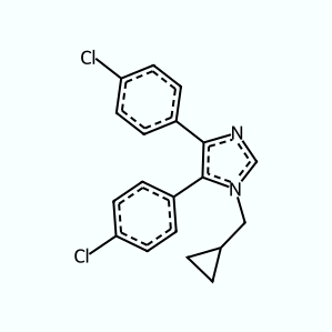 Clc1ccc(-c2ncn(CC3CC3)c2-c2ccc(Cl)cc2)cc1